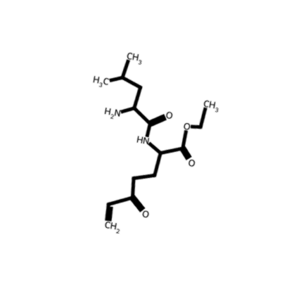 C=CC(=O)CCC(NC(=O)C(N)CC(C)C)C(=O)OCC